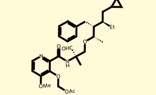 CC[C@H](CC1CC1)[C@@H](Cc1ccccc1)[C@H](C)OC[C@](C)(C=O)NC(=O)c1nccc(OC)c1OCOC(C)=O